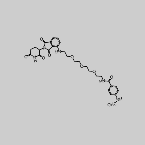 O=CNc1ccc(C(=O)NCCOCCOCCOCCNc2cccc3c2C(=O)N(C2CCC(=O)NC2=O)C3=O)cc1